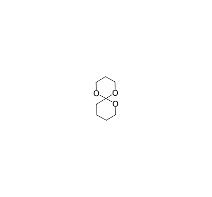 C1CCC2(OC1)OCCCO2